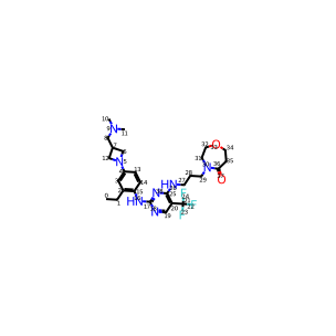 CCc1cc(N2CC(CN(C)C)C2)ccc1Nc1ncc(C(F)(F)F)c(NCCCN2CCOCCC2=O)n1